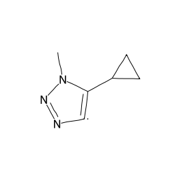 Cn1nn[c]c1C1CC1